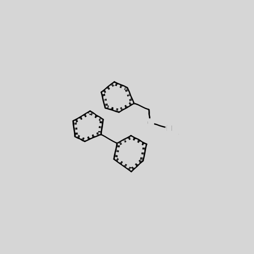 POCc1ccccc1.c1ccc(-c2ccccc2)cc1